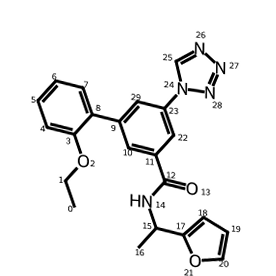 CCOc1ccccc1-c1cc(C(=O)NC(C)c2ccco2)cc(-n2cnnn2)c1